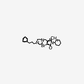 Cn1c(CN2CCN(CCCc3ccccc3)CC2)c(Br)c(=O)n1C1CCCCC1